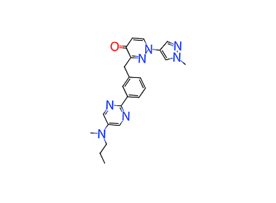 CCCN(C)c1cnc(-c2cccc(Cc3nn(-c4cnn(C)c4)ccc3=O)c2)nc1